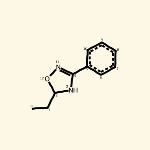 CCC1NC(c2ccccc2)=NO1